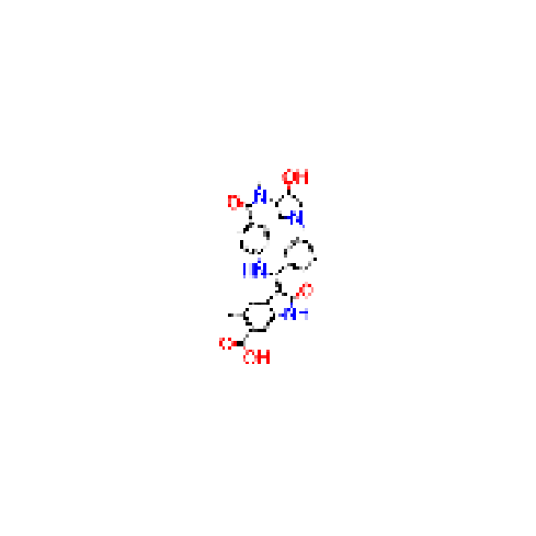 Cc1cc2c(cc1C(=O)O)NC(=O)/C2=C(/Nc1ccc(C(=O)N(C)[C@H]2CN(C)C[C@@H]2O)cc1)c1ccccc1